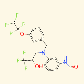 O=CNc1cccc(N(Cc2cccc(OC(F)(F)C(F)F)c2)CC(O)C(F)(F)F)c1